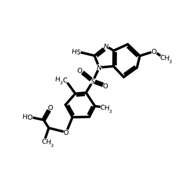 COc1ccc2c(c1)nc(S)n2S(=O)(=O)c1c(C)cc(OC(C)C(=O)O)cc1C